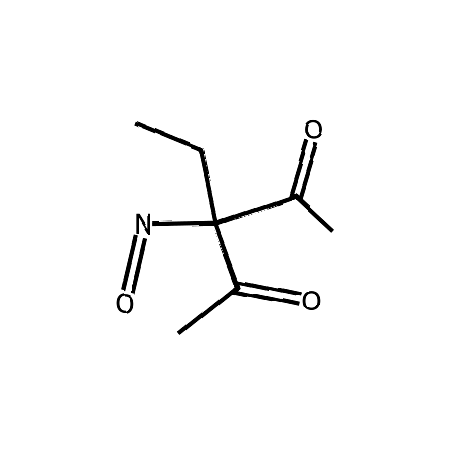 CCC(N=O)(C(C)=O)C(C)=O